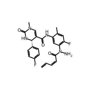 C=C/C=C\C(=O)N(N)c1cc(NC(=O)C2=CN(C)C(=O)N[C@H]2c2ccc(F)cc2)c(C)cc1F